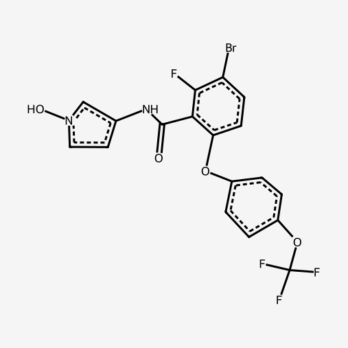 O=C(Nc1ccn(O)c1)c1c(Oc2ccc(OC(F)(F)F)cc2)ccc(Br)c1F